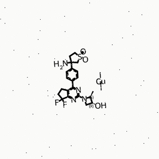 C[C@H]1[C@H](O)CN1c1nc(-c2ccc(C3(N)CCS(=O)(=O)C3)cc2)c2c(n1)C(F)(F)CC2.[I][Cu][I]